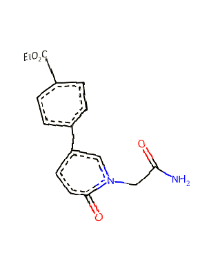 CCOC(=O)c1ccc(-c2ccc(=O)n(CC(N)=O)c2)cc1